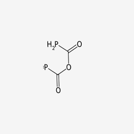 O=C([P])OC(=O)P